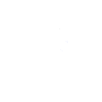 CCOC(=O)c1nn(-c2ccc(C(C)C)cc2)c2c1CS(=O)(=O)c1ccccc1-2